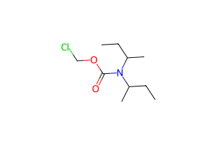 CCC(C)N(C(=O)OCCl)C(C)CC